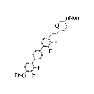 CCCCCCCCCC1CCC(/C=C/c2ccc(-c3ccc(-c4ccc(OCC)c(F)c4F)cc3)c(F)c2F)OC1